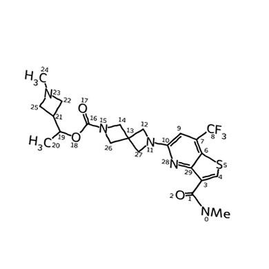 CNC(=O)c1csc2c(C(F)(F)F)cc(N3CC4(CN(C(=O)OC(C)C5CN(C)C5)C4)C3)nc12